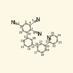 N#Cc1cc(C#N)c(C#N)c(-c2cccc(-c3cccc(-c4ccccn4)c3)c2)c1